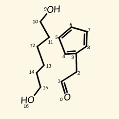 O=CCc1ccccc1.OCCCCCCO